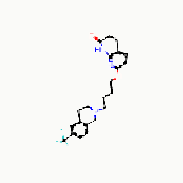 O=C1CCc2ccc(OCCCCN3CCc4cc(C(F)(F)F)ccc4C3)nc2N1